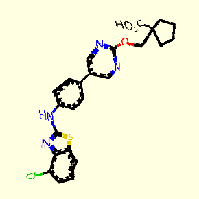 O=C(O)C1(COc2ncc(-c3ccc(Nc4nc5c(Cl)cccc5s4)cc3)cn2)CCCC1